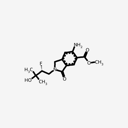 COC(=O)c1cc2c(cc1N)CN(C[C@@H](F)C(C)(C)O)C2=O